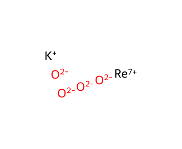 [K+].[O-2].[O-2].[O-2].[O-2].[Re+7]